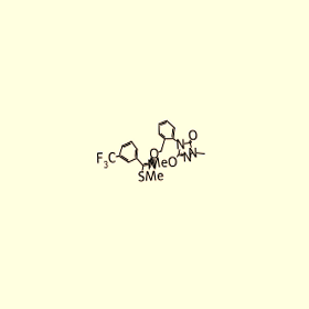 COc1nn(C)c(=O)n1-c1ccccc1CON=C(SC)c1cccc(C(F)(F)F)c1